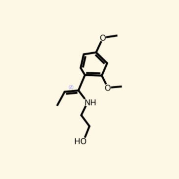 C/C=C(\NCCO)c1ccc(OC)cc1OC